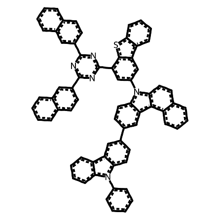 c1ccc(-n2c3ccccc3c3cc(-c4ccc5c(c4)c4c6ccccc6ccc4n5-c4cc(-c5nc(-c6ccc7ccccc7c6)nc(-c6ccc7ccccc7c6)n5)c5sc6ccccc6c5c4)ccc32)cc1